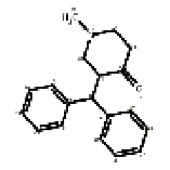 CN1CCC(=O)C(C(c2ccccc2)c2ccccc2)C1